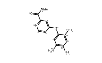 CNC(=O)c1cc(Oc2cc(N)c(N)cc2C)ccn1